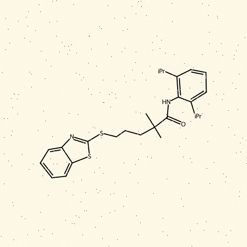 CC(C)c1cccc(C(C)C)c1NC(=O)C(C)(C)CCCSc1nc2ccccc2s1